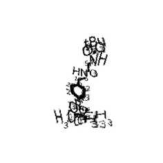 CC(C)(C)OC(=O)NCC(=O)NCCc1ccc(B2OC(C)(C)C(C)(C)O2)cc1